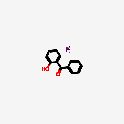 O=C(c1ccccc1)c1ccccc1O.[P]